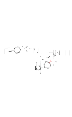 CCC[C@H](CC1(C2CCN(CC3CN(c4ccc(C(F)(F)F)cc4)C3)CC2)Cn2ccnc2-c2cccc1c2)OC(=O)NC